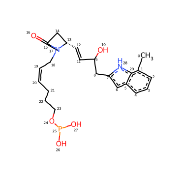 Cc1cccc2cc(CC(O)/C=C/[C@H]3CC(=O)N3C/C=C\CCCOP(O)O)[nH]c12